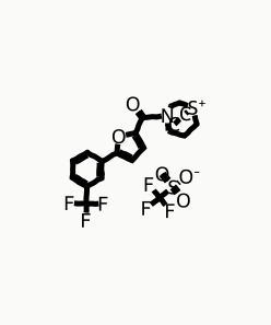 O=C(c1ccc(-c2cccc(C(F)(F)F)c2)o1)N1CC[S+]2CCC1CC2.O=S(=O)([O-])C(F)(F)F